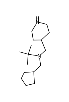 CC(C)(C)N(CC1CCCC1)CC1CCNCC1